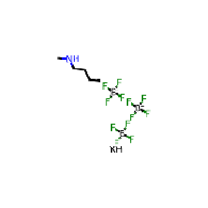 CCCCNC.F[B-](F)(F)F.F[B-](F)(F)F.F[B-](F)(F)F.[KH]